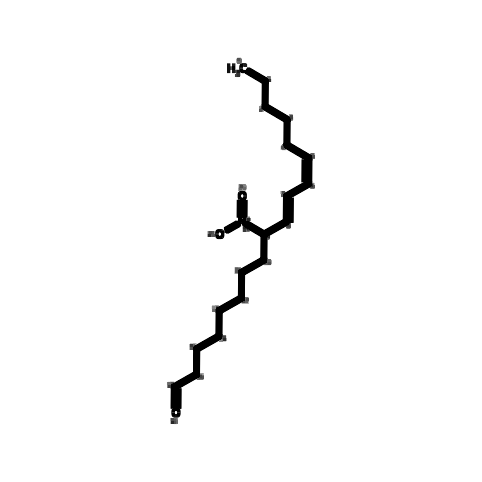 CCCCC/C=C\C=C\C(CCCCCCC[C]=O)[N+](=O)[O-]